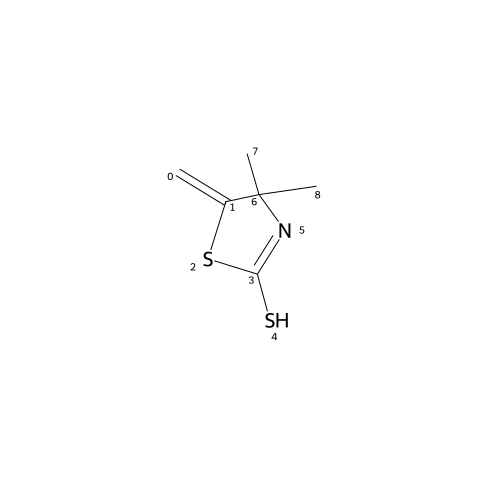 C=C1SC(S)=NC1(C)C